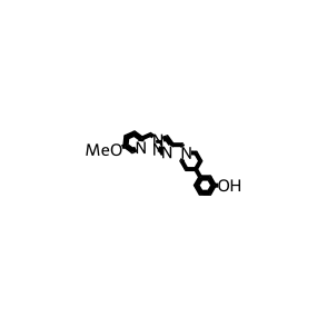 COc1ccc(Cn2cc(CN3CCC(c4cccc(O)c4)CC3)nn2)nc1